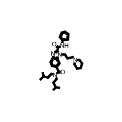 CC(C)CCN(CCC(C)C)C(=O)c1ccc2nc(C(=O)Nc3ccccc3)n(CCCN3CCCCC3)c2c1